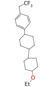 CCOC1CCC(C2CCC(c3ccc(CC(F)(F)F)cc3)CC2)CC1